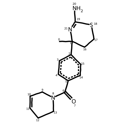 CC1(c2ccc(C(=O)N3CC=CCC3)cc2)CCSC(N)=N1